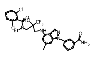 CCN(CC(O)(CNc1cc(C)cc2c1cnn2-c1cccc(C(N)=O)c1)C(F)(F)F)C(=O)c1c(Cl)cccc1Cl